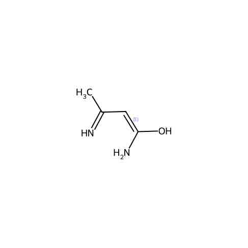 CC(=N)/C=C(\N)O